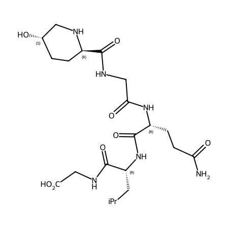 CC(C)C[C@@H](NC(=O)[C@@H](CCC(N)=O)NC(=O)CNC(=O)[C@H]1CC[C@H](O)CN1)C(=O)NCC(=O)O